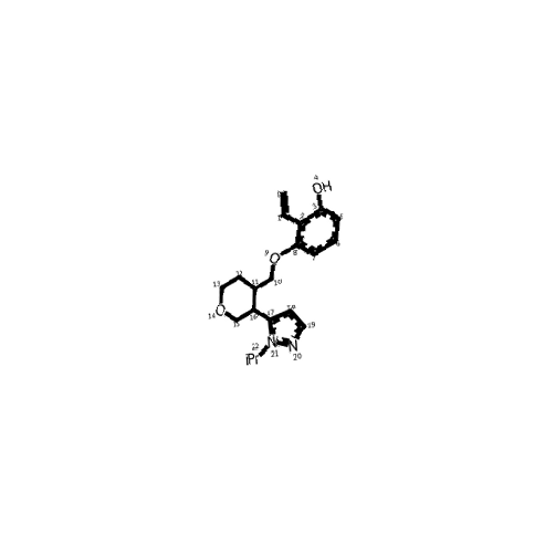 C=Cc1c(O)cccc1OCC1CCOCC1c1ccnn1C(C)C